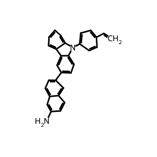 C=Cc1ccc(-n2c3ccccc3c3cc(-c4ccc5cc(N)ccc5c4)ccc32)cc1